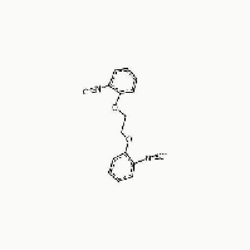 [C-]#[N+]c1ccccc1OCCOc1ccccc1[N+]#[C-]